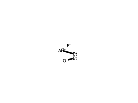 CC[O-].C[CH2][Al+2].[F-]